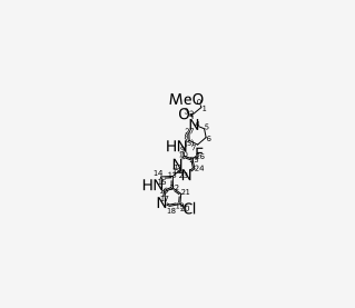 COCC(=O)N1CCC[C@H](Nc2nc(-c3c[nH]c4ncc(Cl)cc34)ncc2F)C1